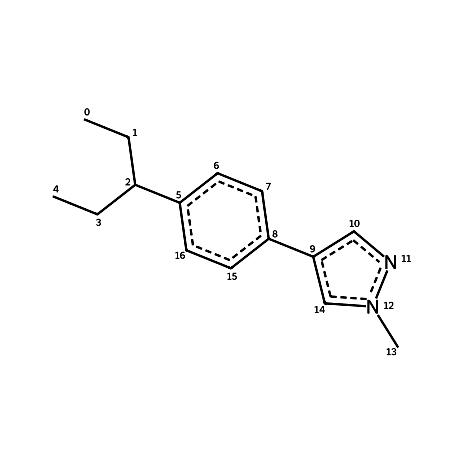 CCC(CC)c1ccc(-c2cnn(C)c2)cc1